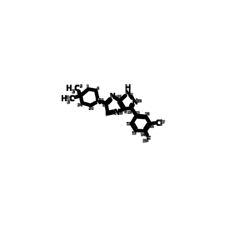 CC1(C)CCN(c2cnc3c(-c4ccc(F)c(Cl)c4)n[nH]c3n2)CC1